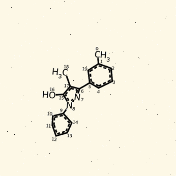 Cc1cccc(-c2nn(-c3ccccc3)c(O)c2C)c1